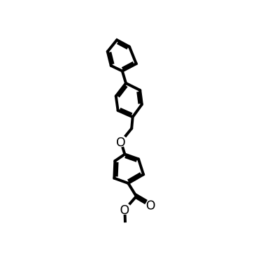 COC(=O)c1ccc(OCc2ccc(-c3ccccc3)cc2)cc1